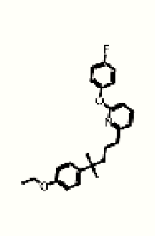 CCOc1ccc(C(C)(C)CCCc2cccc(Oc3ccc(F)cc3)n2)cc1